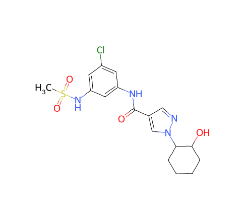 CS(=O)(=O)Nc1cc(Cl)cc(NC(=O)c2cnn(C3CCCCC3O)c2)c1